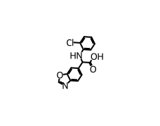 O=C(O)C(Nc1ccccc1Cl)c1ccc2ncoc2c1